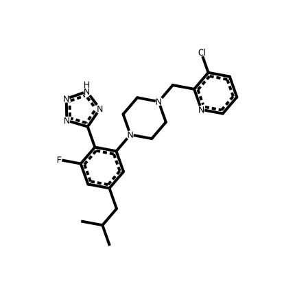 CC(C)Cc1cc(F)c(-c2nn[nH]n2)c(N2CCN(Cc3ncccc3Cl)CC2)c1